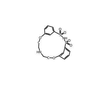 O=S1(=O)NS(=O)(=O)c2cccc(c2)OCCNCCOc2cccc1c2